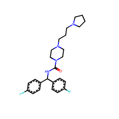 O=C(NC(c1ccc(F)cc1)c1ccc(F)cc1)N1CCN(CCCN2CCCC2)CC1